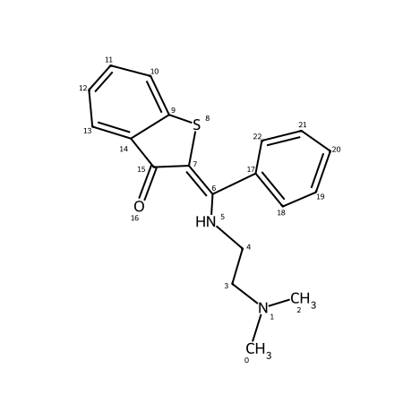 CN(C)CCNC(=C1Sc2ccccc2C1=O)c1ccccc1